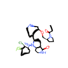 C=CC(=O)N1CCC[C@H]1COc1cnccc1-c1cc2c(n1Nc1cccc(F)c1Cl)CCNC2=O